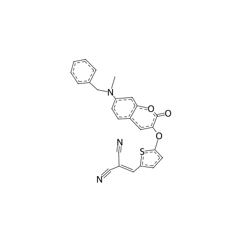 CN(Cc1ccccc1)c1ccc2cc(Oc3ccc(C=C(C#N)C#N)s3)c(=O)oc2c1